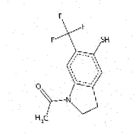 CC(=O)N1CCc2cc(S)c(C(F)(F)F)cc21